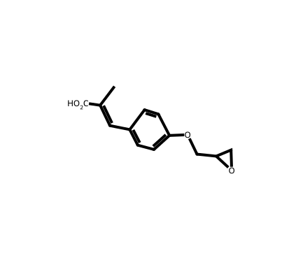 CC(=Cc1ccc(OCC2CO2)cc1)C(=O)O